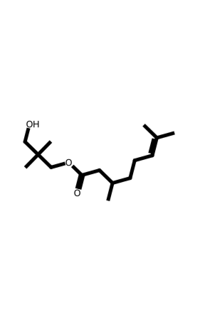 CC(C)=CCCC(C)CC(=O)OCC(C)(C)CO